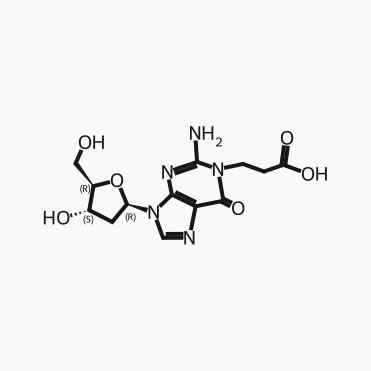 Nc1nc2c(ncn2[C@H]2C[C@H](O)[C@@H](CO)O2)c(=O)n1CCC(=O)O